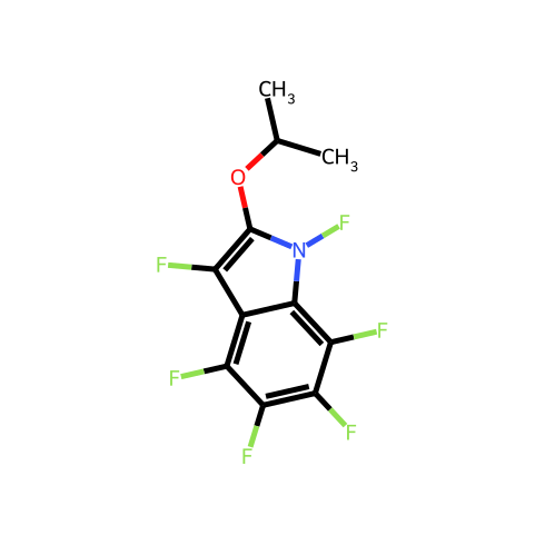 CC(C)Oc1c(F)c2c(F)c(F)c(F)c(F)c2n1F